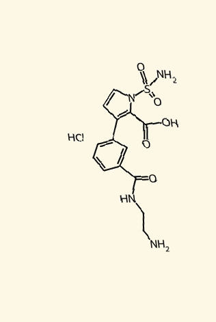 Cl.NCCNC(=O)c1cccc(-c2ccn(S(N)(=O)=O)c2C(=O)O)c1